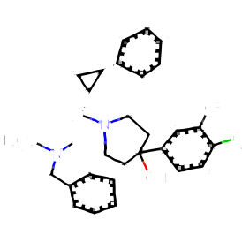 CN(Cc1ccccc1)C(=O)O.OC1(c2ccc(Cl)c(C(F)(F)F)c2)CCN(C[C@@H]2C[C@@H]2c2ccccc2)CC1